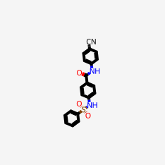 N#Cc1ccc(NC(=O)c2ccc(NS(=O)(=O)c3ccccc3)cc2)cc1